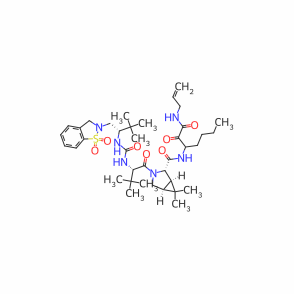 C=CCNC(=O)C(=O)C(CCCC)NC(=O)[C@@H]1[C@@H]2[C@H](CN1C(=O)[C@@H](NC(=O)N[C@H](CN1Cc3ccccc3S1(=O)=O)C(C)(C)C)C(C)(C)C)C2(C)C